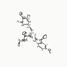 COc1ccc2c(c1)C(=O)N(C[C@@H](C#Cc1cc(C)c(=O)n(C)c1)NC(=O)NC=O)C2